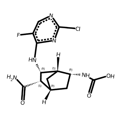 NC(=O)[C@H]1[C@@H]2C[C@H]([C@H]1Nc1nc(Cl)ncc1F)[C@H](NC(=O)O)C2